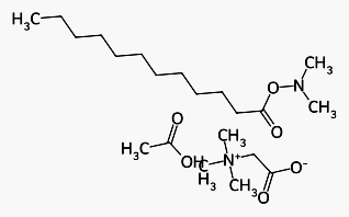 CC(=O)O.CCCCCCCCCCCC(=O)ON(C)C.C[N+](C)(C)CC(=O)[O-]